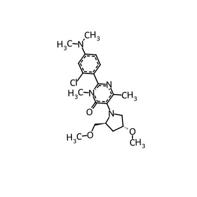 COC[C@@H]1C[C@@H](OC)CN1c1c(C)nc(-c2ccc(N(C)C)cc2Cl)n(C)c1=O